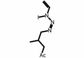 C=CN(I)/N=N\CC(C)CC(C)=O